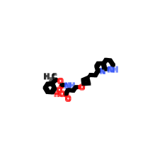 CC(OC(=O)NC(CCO[C@H]1C[C@H](CCc2ccc3c(n2)NCCC3)C1)C(=O)O)c1ccccc1